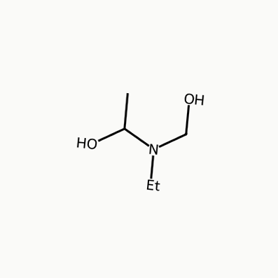 CCN(CO)C(C)O